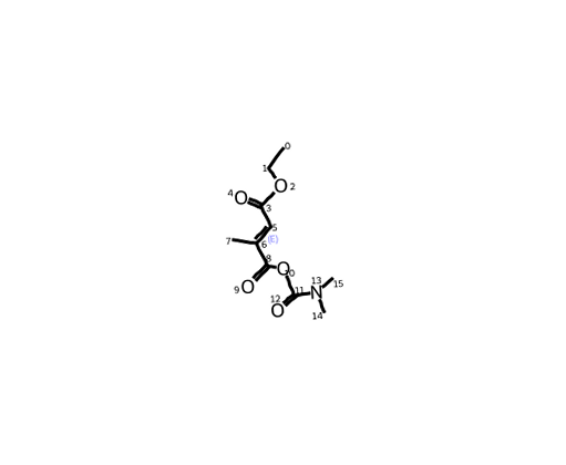 CCOC(=O)/C=C(\C)C(=O)OC(=O)N(C)C